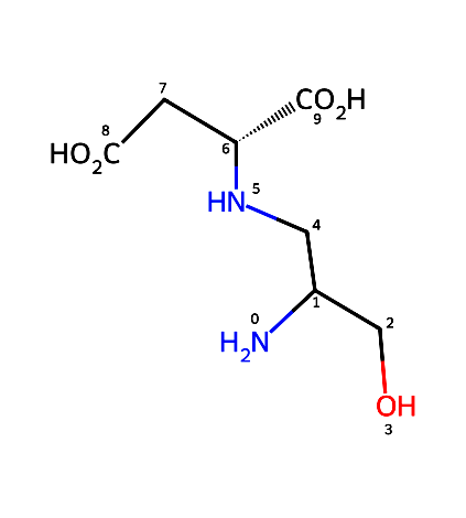 NC(CO)CN[C@H](CC(=O)O)C(=O)O